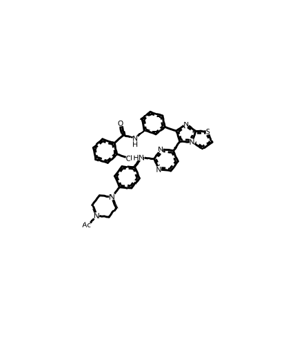 CC(=O)N1CCN(c2ccc(Nc3nccc(-c4c(-c5cccc(NC(=O)c6ccccc6Cl)c5)nc5sccn45)n3)cc2)CC1